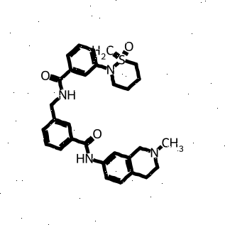 C=S1(=O)CCCCN1c1cccc(C(=O)NCc2cccc(C(=O)Nc3ccc4c(c3)CN(C)CC4)c2)c1